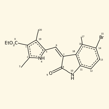 CCOC(=O)c1c(C)[nH]c(C=C2C(=O)Nc3ccc(Br)c(C)c32)c1C